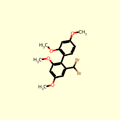 COc1ccc(-c2c(OC)cc(OC)cc2C(Br)Br)c(OC)c1